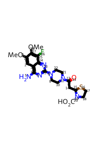 COc1cc2c(N)nc(N3CCN(C(=O)CC4SCCN4C(=O)O)CC3)nc2c(F)c1OC